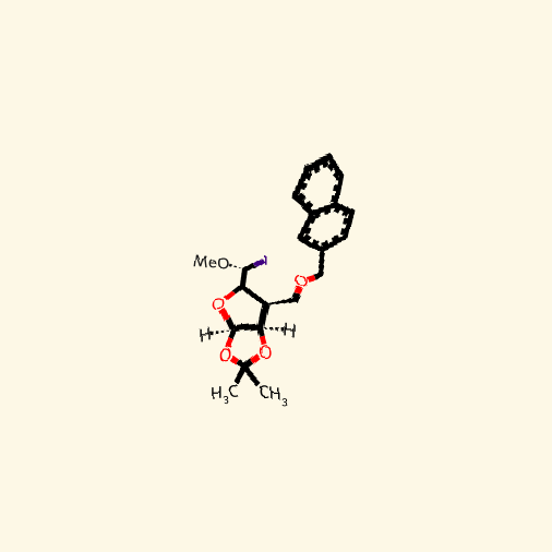 CO[C@H](I)C1O[C@@H]2OC(C)(C)O[C@@H]2[C@@H]1COCc1ccc2ccccc2c1